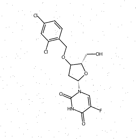 O=c1[nH]c(=O)n([C@@H]2CC(OCc3ccc(Cl)cc3Cl)[C@H](CO)O2)cc1F